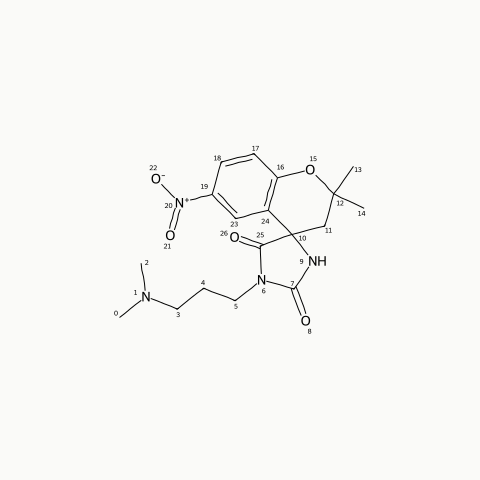 CN(C)CCCN1C(=O)NC2(CC(C)(C)Oc3ccc([N+](=O)[O-])cc32)C1=O